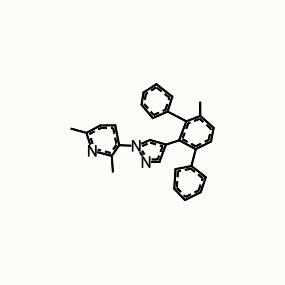 Cc1ccc(-n2cc(-c3c(-c4ccccc4)ccc(C)c3-c3ccccc3)cn2)c(C)n1